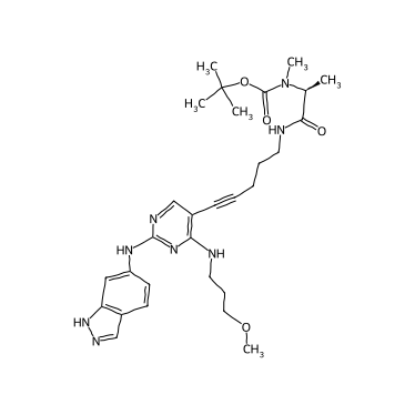 COCCCNc1nc(Nc2ccc3cn[nH]c3c2)ncc1C#CCCCNC(=O)[C@H](C)N(C)C(=O)OC(C)(C)C